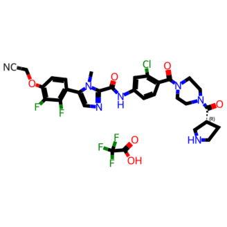 Cn1c(-c2ccc(OCC#N)c(F)c2F)cnc1C(=O)Nc1ccc(C(=O)N2CCN(C(=O)[C@@H]3CCNC3)CC2)c(Cl)c1.O=C(O)C(F)(F)F